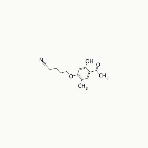 CC(=O)c1cc(C)c(OCCCCC#N)cc1O